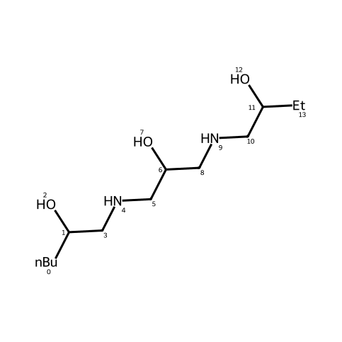 CCCCC(O)CNCC(O)CNCC(O)CC